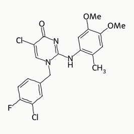 COc1cc(C)c(Nc2nc(=O)c(Cl)cn2Cc2ccc(F)c(Cl)c2)cc1OC